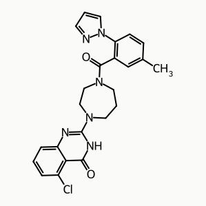 Cc1ccc(-n2cccn2)c(C(=O)N2CCCN(c3nc4cccc(Cl)c4c(=O)[nH]3)CC2)c1